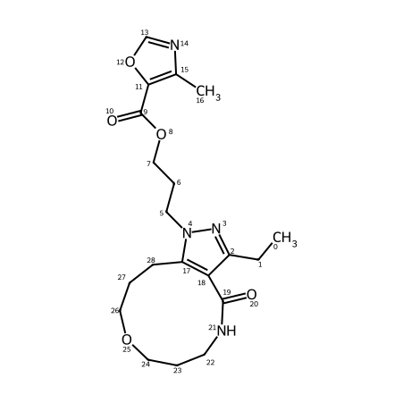 CCc1nn(CCCOC(=O)c2ocnc2C)c2c1C(=O)NCCCOCCC2